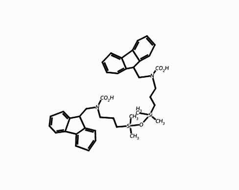 C[Si](C)(CCCN(CC1c2ccccc2-c2ccccc21)C(=O)O)O[Si](C)(C)CCCN(CC1c2ccccc2-c2ccccc21)C(=O)O